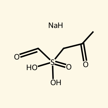 CC(=O)CS(=O)(O)(O)C=O.[NaH]